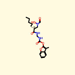 CCCCC[C@H](CN(O)C=O)C(=O)NCNC(=O)Oc1oc2ccccc2c1C